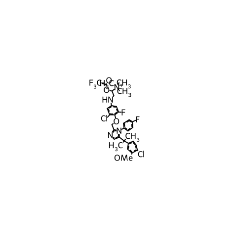 COc1cc(C(C)(C)c2cnc(COc3c(F)cc(NCC(OC(=O)C(F)(F)F)[N+](C)(C)C)cc3Cl)n2-c2ccc(F)cc2)ccc1Cl